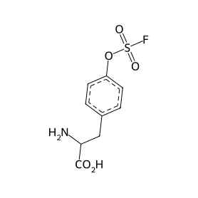 NC(Cc1ccc(OS(=O)(=O)F)cc1)C(=O)O